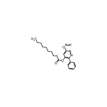 CCCCCCCCSC(=O)Oc1cc(Cl)nnc1-c1ccccc1.[NaH]